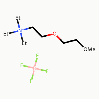 CC[N+](CC)(CC)CCOCCOC.F[B-](F)(F)F